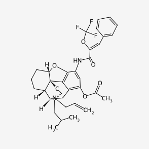 C=CC[N+]1(CC(C)C)CC[C@]23c4c5c(OC(C)=O)cc(NC(=O)C(=Cc6ccccc6)OC(F)(F)F)c4O[C@H]2CCC[C@H]3[C@H]1C5